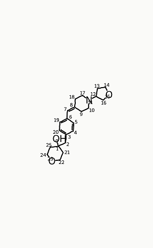 OC1(Cc2ccc(C=C3CCN(C4CCOC4)CC3)cc2)CCOCC1